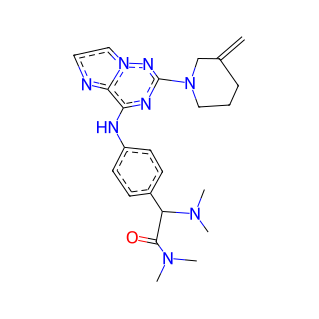 C=C1CCCN(c2nc(Nc3ccc(C(C(=O)N(C)C)N(C)C)cc3)c3nccn3n2)C1